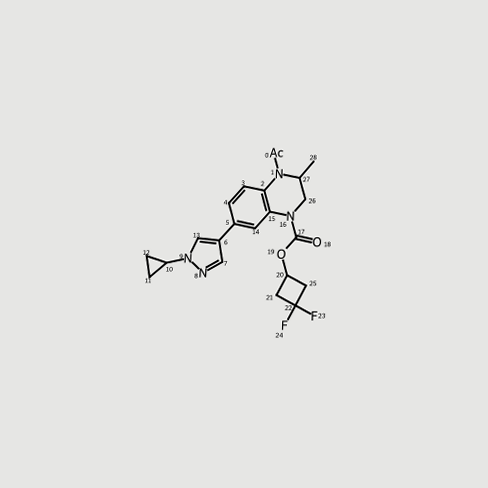 CC(=O)N1c2ccc(-c3cnn(C4CC4)c3)cc2N(C(=O)OC2CC(F)(F)C2)CC1C